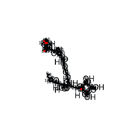 CC(C)Cc1ccc(CC(=O)NCCCC(NC(=O)C(CCCCNC(=O)CN2CCN(CC(=O)O)CCN(CC(=O)O)CCN(CC(=O)O)CC2)NC(=O)CCOCCOCCOCCNC(=O)COc2ccc3c(C(=O)NCC(=O)N4CCC[C@H]4B4O[C@H]5CC6CC([C@H]5O4)C6(C)C)ccnc3c2)C(=O)O)cc1